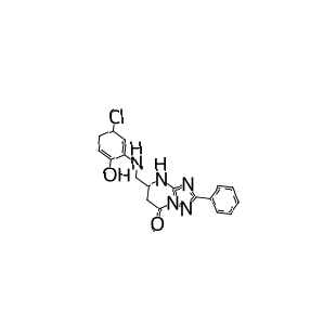 O=C1CC(CNC2=CC(Cl)CC=C2O)Nc2nc(-c3ccccc3)nn21